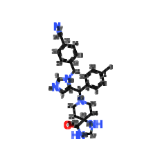 Cc1ccc(C(c2cncn2Cc2ccc(C#N)cc2)N2CCC3(CC2)NCNC3=O)cc1